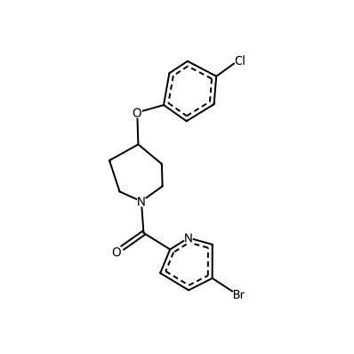 O=C(c1ccc(Br)cn1)N1CCC(Oc2ccc(Cl)cc2)CC1